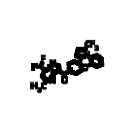 Cc1cc(C(F)F)n2ncc(C(=O)N3CCC4(CC3)Oc3ccccc3-n3c(C(F)(F)F)ccc34)c2n1